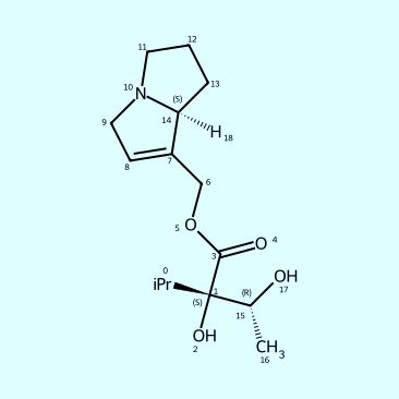 CC(C)[C@@](O)(C(=O)OCC1=CCN2CCC[C@@H]12)[C@@H](C)O